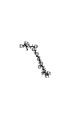 CCN(CC)C(=S)SCCC(=O)OCCOCCOCCOC(=O)CCSC(=S)N(CC)CC